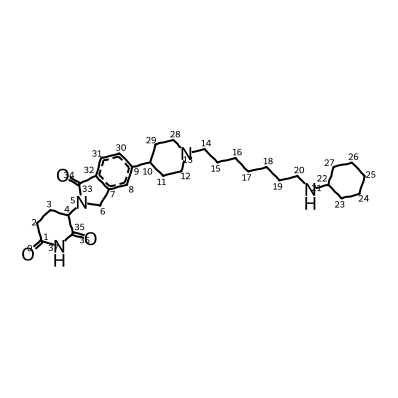 O=C1CCC(N2Cc3cc(C4CCN(CCCCCCCNC5CCCCC5)CC4)ccc3C2=O)C(=O)N1